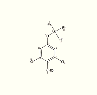 CC(C)[Si](Oc1cc(Cl)c(C=O)c(Cl)c1)(C(C)C)C(C)C